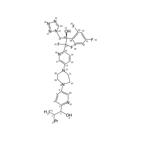 CC(C)C(C)C(O)c1ccc(N2CCN(c3ccc(C(F)(F)[C@](O)(Cn4cnnn4)c4ccc(F)cc4F)nc3)CC2)cn1